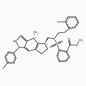 COC(=O)c1ccccc1S(=O)(=O)N(CCc1ccccc1F)C[C@H]1CCC2=C1[C@@H](C)C1=CNN(c3ccc(F)cc3)C1=C2